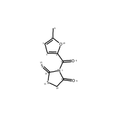 Cc1ccc(C(=O)N2C(=O)CSC2=S)o1